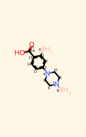 Bc1cc(N2CCN(B)CC2)ccc1C(=O)O